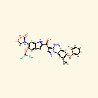 Cc1cc(-n2ncc(C(=O)c3cc4cc(OC(F)F)c(N5CCOC5=O)cc4[nH]3)c2N)ccc1Oc1ccccc1F